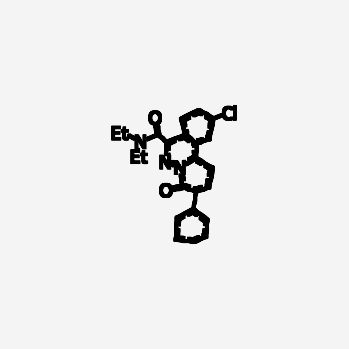 CCN(CC)C(=O)c1nn2c(=O)c(-c3ccccc3)ccc2c2cc(Cl)ccc12